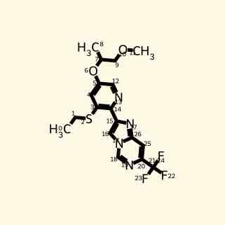 CCSc1cc(OC(C)COC)cnc1-c1cn2cnc(C(F)(F)F)cc2n1